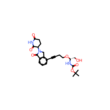 CC(C)(C)OC(=O)N[C@@H](CO)OCCC#Cc1cccc2c1CN(C1CCC(=O)NC1=O)C2=O